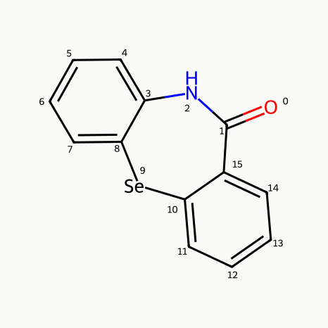 O=C1Nc2ccccc2[Se]c2ccccc21